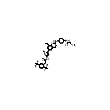 CCc1cc(-c2cc(NC(=O)Cc3cc(C(F)(F)F)ccc3C(F)(F)F)nn2C)cc2cnc(NC3CCC(NC(=O)CN)CC3)nc12